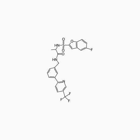 CC(NS(=O)(=O)c1cc2cc(F)ccc2o1)C(=O)NCc1cccc(-c2ccc(C(F)(F)F)cn2)c1